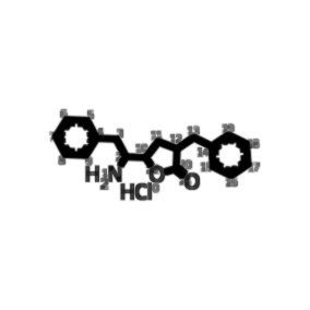 Cl.NC(Cc1ccccc1)C1CC(Cc2ccccc2)C(=O)O1